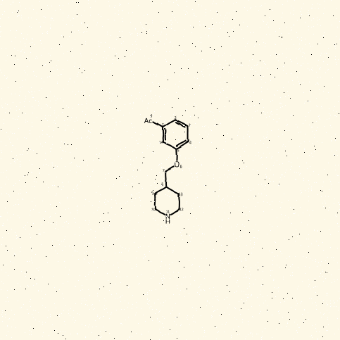 CC(=O)c1cccc(OCC2CCNCC2)c1